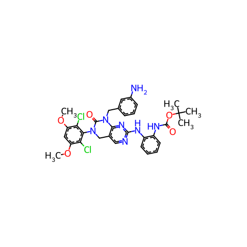 COc1cc(OC)c(Cl)c(N2Cc3cnc(Nc4ccccc4NC(=O)OC(C)(C)C)nc3N(Cc3cccc(N)c3)C2=O)c1Cl